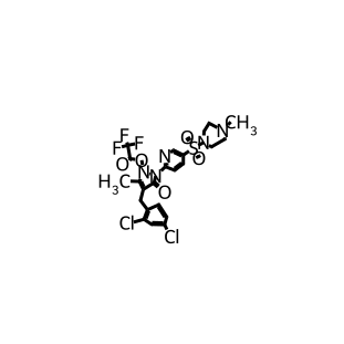 Cc1c(Cc2ccc(Cl)cc2Cl)c(=O)n(-c2ccc(S(=O)(=O)N3CCN(C)CC3)cn2)n1OC(=O)C(F)(F)F